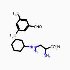 NC1CCCCC1.NCC(N)C(=O)O.O=Cc1cc(C(F)(F)F)cc(C(F)(F)F)c1